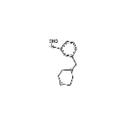 O=CNc1cccc(CN2CCOCC2)c1